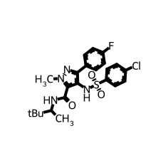 CC(NC(=O)c1c(NS(=O)(=O)c2ccc(Cl)cc2)c(-c2ccc(F)cc2)nn1C)C(C)(C)C